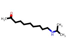 CC(=O)CCCCCCCCNC(C)C